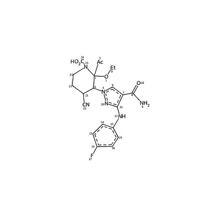 CCOC1(C(C)=O)C(n2cc(C(N)=O)c(Nc3ccc(F)cc3)n2)C(C#N)CCN1C(=O)O